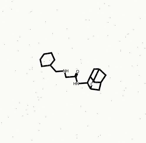 O=C(CNCC1CCCCC1)NC1C2CC3CC(C2)CC1C3